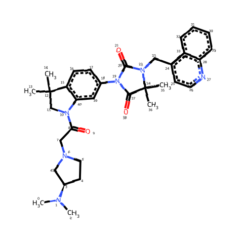 CN(C)[C@@H]1CCN(CC(=O)N2CC(C)(C)c3ccc(N4C(=O)N(Cc5ccnc6ccccc56)C(C)(C)C4=O)cc32)C1